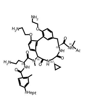 CCCCCCCc1ccc(C(=O)N[C@@H](CCN)C(=O)N(C)[C@@H]2C(=O)N[C@@H](C3CC3)C(=O)N[C@H](C(=O)N[C@@H](C)C(C)=O)Cc3ccc(OCCN)c(c3)-c3cc2ccc3OCCN)c(C)c1